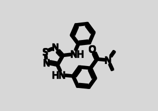 CN(C)C(=O)c1cccc(Nc2nsnc2Nc2ccccc2)c1